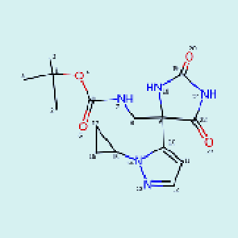 CC(C)(C)OC(=O)NCC1(c2ccnn2C2CC2)NC(=O)NC1=O